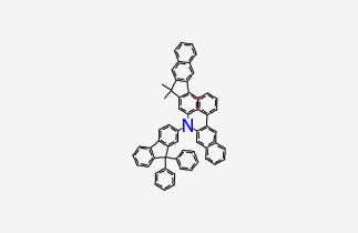 CC1(C)c2cc(N(c3ccc4c(c3)C(c3ccccc3)(c3ccccc3)c3ccccc3-4)c3cc4ccccc4cc3-c3ccccc3)ccc2-c2cc3ccccc3cc21